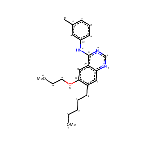 COCCCCc1cc2ncnc(Nc3cccc(C)c3)c2cc1OCCOC